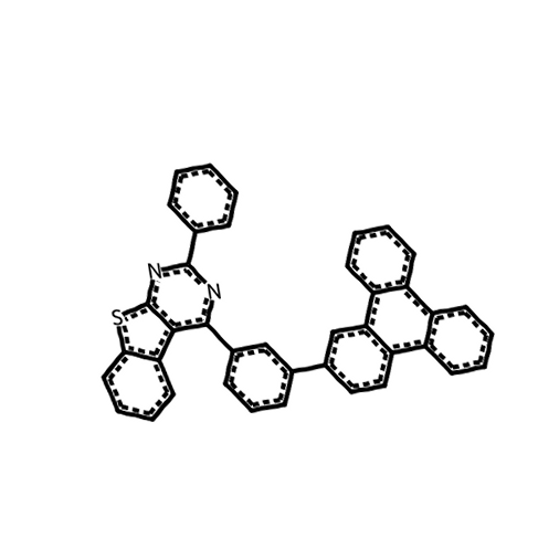 c1ccc(-c2nc(-c3cccc(-c4ccc5c6ccccc6c6ccccc6c5c4)c3)c3c(n2)sc2ccccc23)cc1